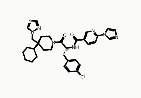 O=C(N[C@H](Cc1ccc(Cl)cc1)C(=O)N1CCC(Cn2cncn2)(C2CCCCC2)CC1)c1ccc(-n2ccnc2)nc1